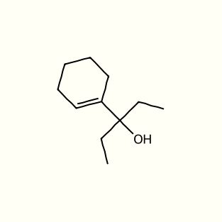 CCC(O)(CC)C1=CCCCC1